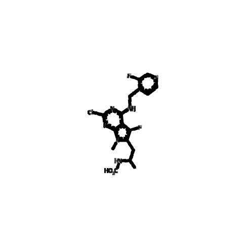 CC(Cc1c(F)c2c(NCc3ccncc3F)nc(Cl)nc2n1C)NC(=O)O